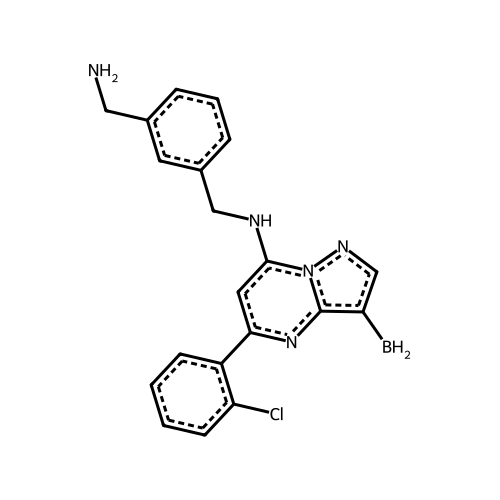 Bc1cnn2c(NCc3cccc(CN)c3)cc(-c3ccccc3Cl)nc12